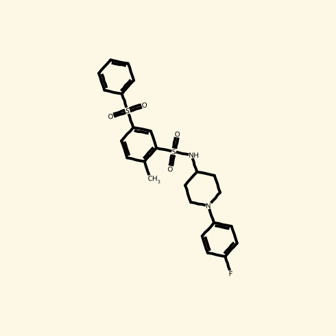 Cc1ccc(S(=O)(=O)c2ccccc2)cc1S(=O)(=O)NC1CCN(c2ccc(F)cc2)CC1